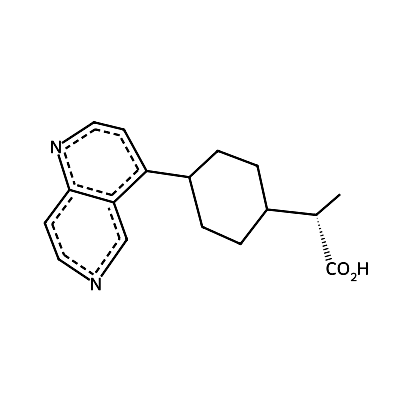 C[C@H](C(=O)O)C1CCC(c2ccnc3ccncc23)CC1